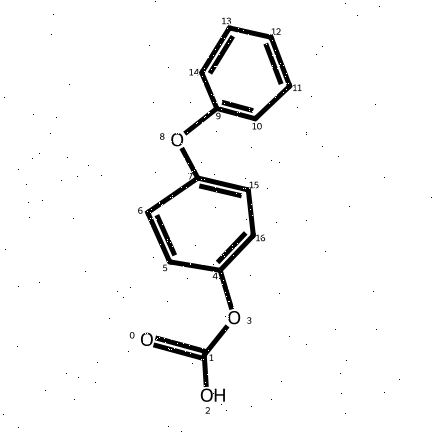 O=C(O)Oc1ccc(Oc2ccccc2)cc1